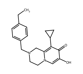 CCc1ccc(CN2CCn3cc(O)c(=O)c(C4CC4)c3C2)cc1